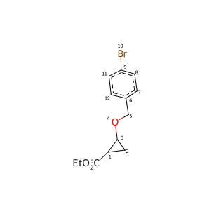 CCOC(=O)C1CC1OCc1ccc(Br)cc1